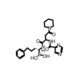 O=C(NC(CC(=O)N1CCCCC1)C(=O)N[C@@H](CCCc1ccccc1)B(O)O)c1cnccn1